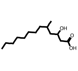 CCCCCCCCC(C)CC(O)CC(=O)O